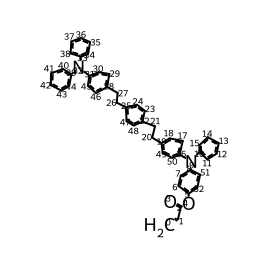 C=CC(=O)Oc1ccc(N(c2ccccc2)c2ccc(CCc3ccc(CCc4ccc(N(c5ccccc5)c5ccccc5)cc4)cc3)cc2)cc1